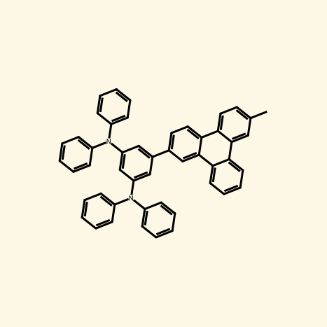 Cc1ccc2c3ccc(-c4cc(N(c5ccccc5)c5ccccc5)cc(N(c5ccccc5)c5ccccc5)c4)cc3c3ccccc3c2c1